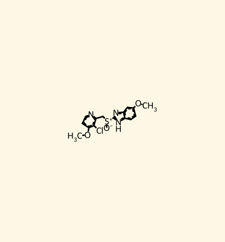 COc1ccc2[nH]c([S+]([O-])Cc3nccc(OC)c3Cl)nc2c1